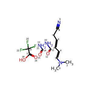 CN(C)C=CC=CCC#N.NC=O.NC=O.O=C(O)C(F)(F)F